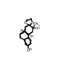 CC[C@@]12C[C@@](C)(O)C3(C[C@H]1CCc1cc(O)ccc12)OCCO3